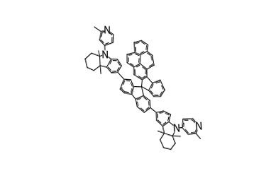 Cc1cc(N2c3ccc(-c4ccc5c(c4)C4(c6cc(-c7ccc8c(c7)C7(C)CCCCC7(C)N8c7ccnc(C)c7)ccc6-5)c5ccccc5-c5c4cc4ccc6cccc7ccc5c4c67)cc3C3(C)CCCCC23C)ccn1